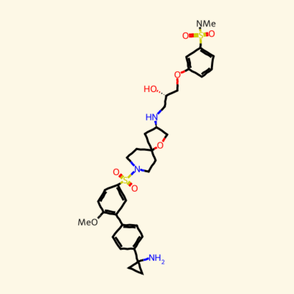 CNS(=O)(=O)c1cccc(OC[C@@H](O)CN[C@H]2COC3(CCN(S(=O)(=O)c4ccc(OC)c(-c5ccc(C6(N)CC6)cc5)c4)CC3)C2)c1